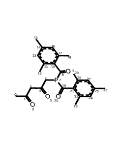 CC(=O)CC(=O)CP(C(=O)c1c(C)cc(C)cc1C)C(=O)c1c(C)cc(C)cc1C